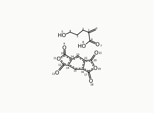 C=C(CCCO)C(=O)O.O=c1oc(=O)c2cc3c(=O)oc(=O)c3cc12